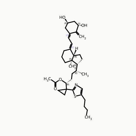 C=C1/C(=C\C=C2/CCC[C@]3(C)[C@@H]([C@H](C)CC[C@@H](OC(C)=O)C4(c5ncc(CCCC)s5)CC4)CC[C@@H]23)C[C@@H](O)C[C@@H]1O